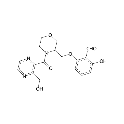 O=Cc1c(O)cccc1OCC1COCCN1C(=O)c1nccnc1CO